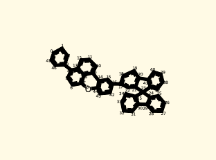 c1ccc(-c2ccc3c4c(cccc24)-c2cc(-c4ccc5c(c4)C4(c6ccccc6-c6ccccc64)c4ccccc4-5)ccc2O3)cc1